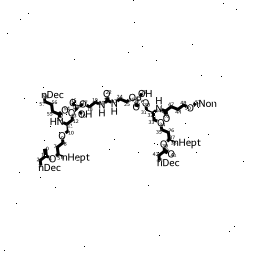 C=C(CCCCCCCCCCC)O[C@H](CCCCCCC)CCOC[C@H](COP(=O)(O)OCCNC(=O)NCCOP(=O)(O)OC[C@H](COCC[C@@H](CCCCCCC)OC(=O)CCCCCCCCCCC)NC(=O)CCCOCCCCCCCCC)NC(=O)CCCCCCCCCCCCC